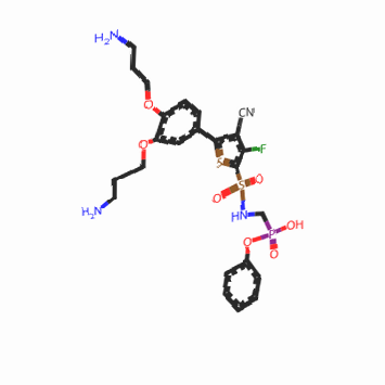 N#Cc1c(-c2ccc(OCCCN)c(OCCCN)c2)sc(S(=O)(=O)NCP(=O)(O)Oc2ccccc2)c1F